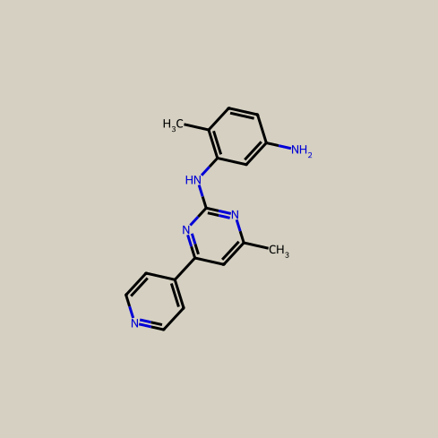 Cc1cc(-c2ccncc2)nc(Nc2cc(N)ccc2C)n1